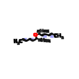 C/C=C/C=C/C(CCCCCC)OC(/C=C/C=C/C)CCCCCC